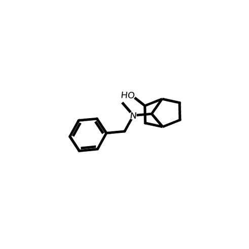 CN(Cc1ccccc1)C1C2CCC1C(O)C2